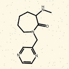 CNC1CCCCN(Cc2cnccn2)C1=O